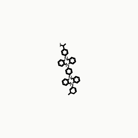 CC1C=C(N2c3ccccc3N(c3ccc(N4c5ccccc5N(c5ccc(C(C)I)cc5)c5ccccc54)cc3)c3ccccc32)C=CC1